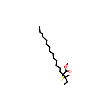 CCCCCCCCCCCCCCC1(C(=O)OC)SC1(C)CC